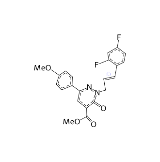 COC(=O)c1cc(-c2ccc(OC)cc2)nn(C/C=C/c2ccc(F)cc2F)c1=O